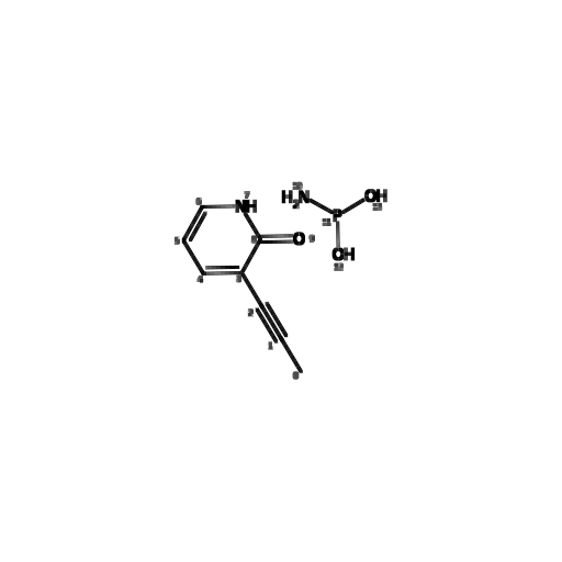 CC#Cc1ccc[nH]c1=O.NP(O)O